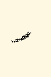 CCCCc1ccc(CCc2ccc3c(F)c(-c4cc(F)c(OC(F)F)c(F)c4)ccc3c2)cc1